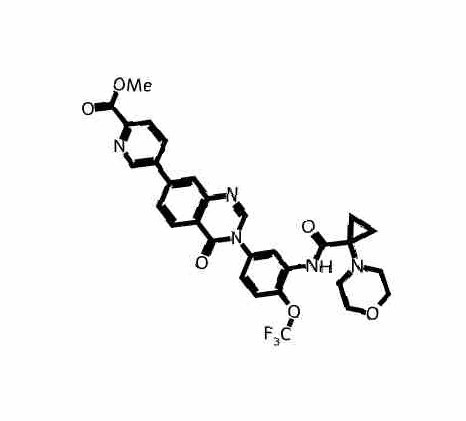 COC(=O)c1ccc(-c2ccc3c(=O)n(-c4ccc(OC(F)(F)F)c(NC(=O)C5(N6CCOCC6)CC5)c4)cnc3c2)cn1